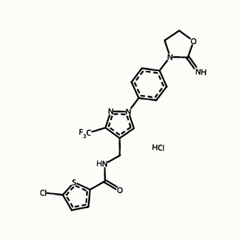 Cl.N=C1OCCN1c1ccc(-n2cc(CNC(=O)c3ccc(Cl)s3)c(C(F)(F)F)n2)cc1